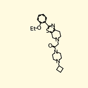 CCOc1ccccc1-c1nc2c(s1)CN(CC(=O)N1CCN(C3CCC3)CC1)CC2